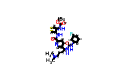 CN(C)CCCC(NC(=O)Nc1cccc(F)c1)c1ccc(C(=O)Nc2cscc2NC(=O)OC(C)(C)C)nc1